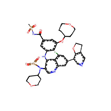 CS(=O)(=O)NC(=O)c1cc(Nc2c(N(C3CCOCC3)[SH](=O)=O)cnc3cc(-c4cncc5c4OCC5)cc(F)c23)cc(OC2CCOCC2)c1